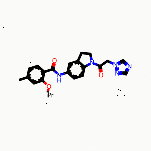 Cc1ccc(C(=O)Nc2ccc3c(c2)CCN3C(=O)Cn2cncn2)c(OC(C)C)c1